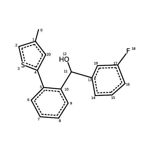 Cc1csc(-c2ccccc2C(O)c2cccc(F)c2)c1